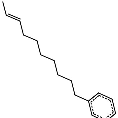 C/C=C/CCCCCCCc1ccccc1